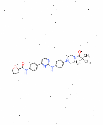 CC(C)(C)C(=O)N1CCN(c2ccc(Nc3nccc(-c4ccc(NC(=O)C5CCCO5)cc4)n3)cc2)CC1